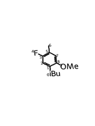 CCC(C)c1cc(F)c(C)cc1OC